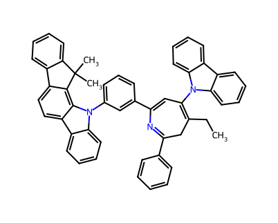 CCC1=C(n2c3ccccc3c3ccccc32)C=C(c2cccc(-n3c4ccccc4c4ccc5c(c43)C(C)(C)c3ccccc3-5)c2)N=C(c2ccccc2)C1